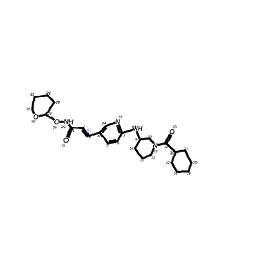 O=C(/C=C/c1ccc(NC2CCCN(C(=O)C3CCCCC3)C2)nc1)NOC1CCCCO1